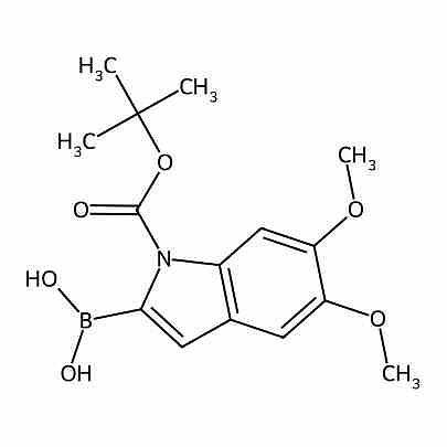 COc1cc2cc(B(O)O)n(C(=O)OC(C)(C)C)c2cc1OC